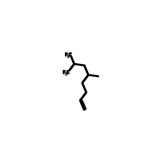 C=CCCC(C)CC(C(F)(F)F)C(F)(F)F